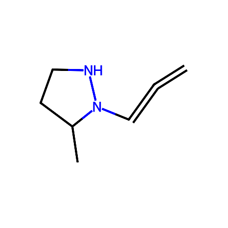 C=C=CN1NCCC1C